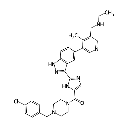 CCNCc1cncc(-c2ccc3[nH]nc(-c4ncc(C(=O)N5CCN(Cc6ccc(Cl)cc6)CC5)[nH]4)c3c2)c1C